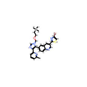 Cc1cccc(-c2ncn(COCC[Si](C)(C)C)c2-c2ccc3ncc(-c4nc(Br)cs4)cc3c2)n1